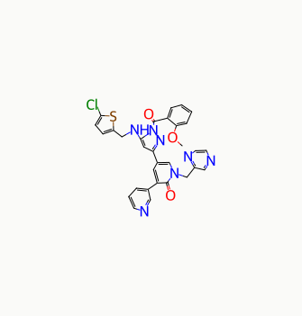 COc1ccccc1C(=O)n1nc(-c2cc(-c3cccnc3)c(=O)n(Cc3cnccn3)c2)cc1NCc1ccc(Cl)s1